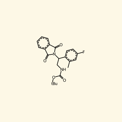 Cc1cc(F)ccc1C(CNC(=O)OC(C)(C)C)N1C(=O)c2ccccc2C1=O